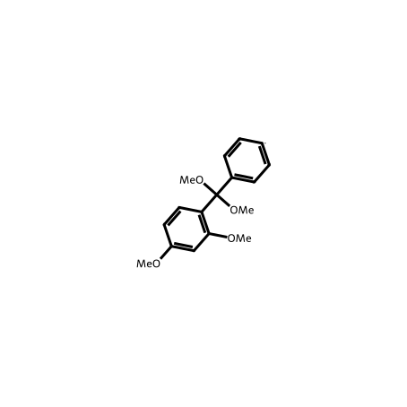 COc1ccc(C(OC)(OC)c2cc[c]cc2)c(OC)c1